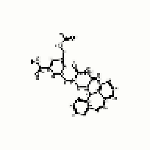 CC(=O)OCc1cc(Cn2cc(C3c4ccccc4C=Cc4ccccc43)c(=O)[nH]c2=O)cc(C(=O)O)c1